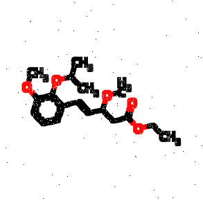 CCOC(=O)CC(/C=C/c1cccc(OC)c1OC(C)C)OC